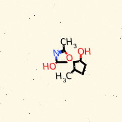 CC1=NC(O)CO1.CC1CCC(O)C1